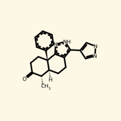 C[C@@H]1C(=O)CC[C@]2(c3ccccc3)c3n[nH]c(C4=C[N]N=C4)c3CC[C@@H]12